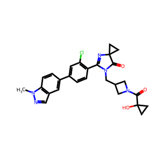 Cn1ncc2cc(-c3ccc(C4=NC5(CC5)C(=O)N4CC4CN(C(=O)C5(O)CC5)C4)c(Cl)c3)ccc21